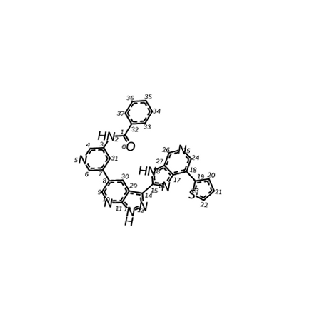 O=C(Nc1cncc(-c2cnc3[nH]nc(-c4nc5c(-c6cccs6)cncc5[nH]4)c3c2)c1)c1ccccc1